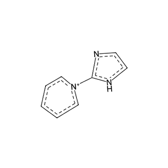 c1cc[n+](-c2ncc[nH]2)cc1